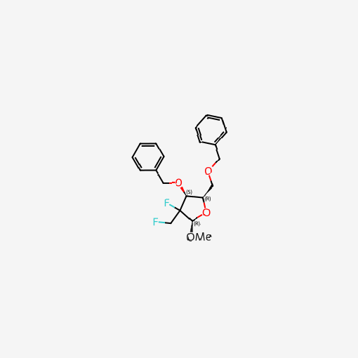 CO[C@@H]1O[C@H](COCc2ccccc2)[C@H](OCc2ccccc2)C1(F)CF